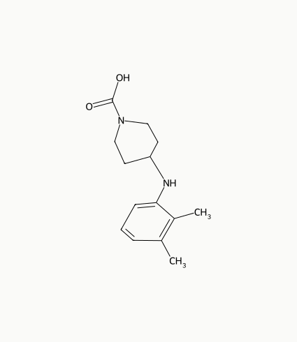 Cc1cccc(NC2CCN(C(=O)O)CC2)c1C